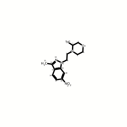 [2H]C1COCCN1CCn1nc(C)c2ccc([N+](=O)[O-])cc21